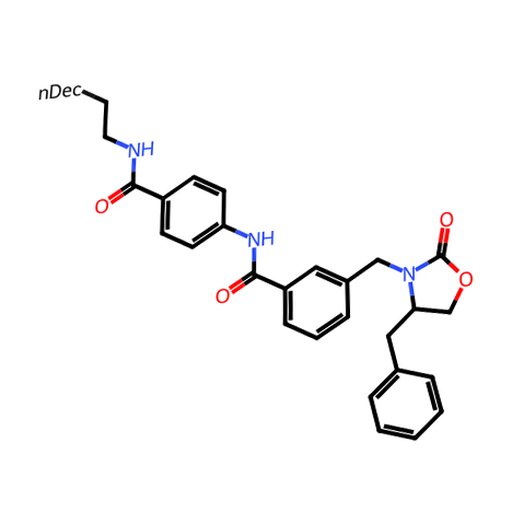 CCCCCCCCCCCCNC(=O)c1ccc(NC(=O)c2cccc(CN3C(=O)OCC3Cc3ccccc3)c2)cc1